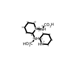 C1CCNCC1.O=C(O)NC1CCCCN1NC(=O)O